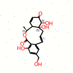 C[C@@H]1OC(=O)c2c(O)cc(CO)cc2/C=C/C[C@]2(O)C1C=CC(=O)[C@H]2O